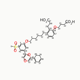 CS(=O)(=O)c1cc(OCCCCCCc2cccc(OCCCC(=O)O)c2CCC(=O)O)cc(C2=COC=C(C3=CC=CCC3)O2)c1